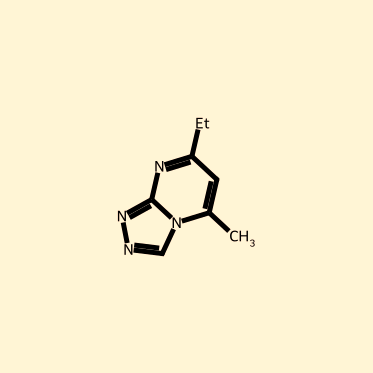 CCc1cc(C)n2cnnc2n1